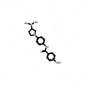 CCCCN(CCCC)C1CCN(c2ccc(NC(=O)c3ccc(OCC(C)C)cc3)cc2)C1